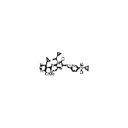 COc1ncnc(C2CC2)c1-c1ncc2nc(NCc3ccc(S(=O)(=O)C4CC4)cn3)c(=O)n(C(C)C3CC3)c2n1